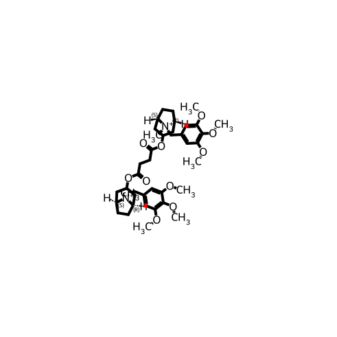 COc1cc(C[N+]2(C)[C@@H]3CC[C@H]2CC(OC(=O)CCC(=O)OC2C[C@H]4CC[C@@H](C2)[N+]4(C)Cc2cc(OC)c(OC)c(OC)c2)C3)cc(OC)c1OC